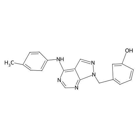 Cc1ccc(Nc2ncnc3c2cnn3Cc2cccc(O)c2)cc1